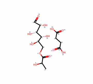 CC(O)C(=O)OC[C@@H](O)[C@@H](O)[C@H](O)[C@@H](O)C=O.O=C(O)CCC(=O)O